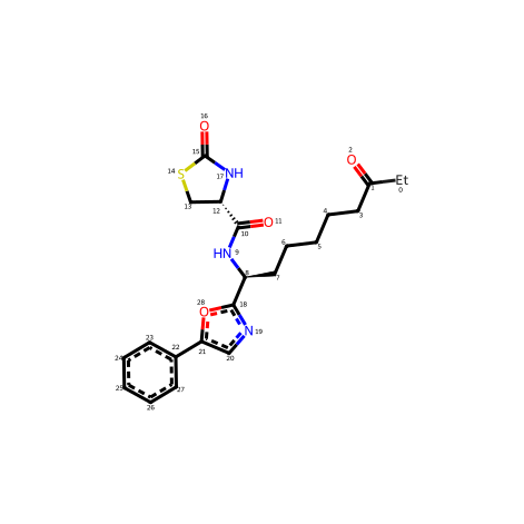 CCC(=O)CCCCC[C@H](NC(=O)[C@@H]1CSC(=O)N1)c1ncc(-c2ccccc2)o1